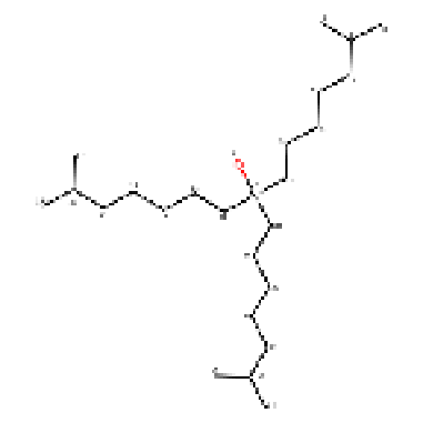 CC(C)CCCCC[Si]([O])(CCCCCC(C)C)CCCCCC(C)C